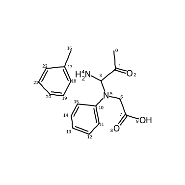 CC(=O)C(N)N(CC(=O)O)c1ccccc1.Cc1ccccc1